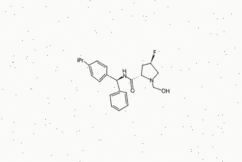 CC(C)c1ccc([C@@H](NC(=O)[C@@H]2C[C@@H](F)CN2CO)c2ccccc2)cc1